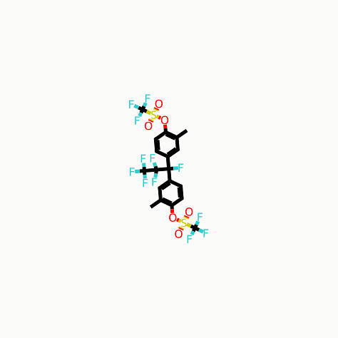 Cc1cc(C(F)(c2ccc(OS(=O)(=O)C(F)(F)F)c(C)c2)C(F)(F)C(F)(F)F)ccc1OS(=O)(=O)C(F)(F)F